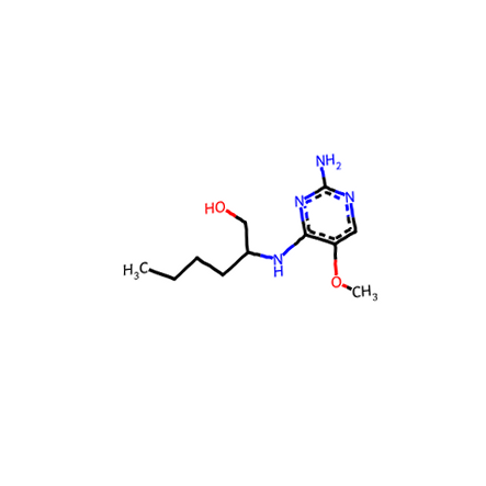 CCCCC(CO)Nc1nc(N)ncc1OC